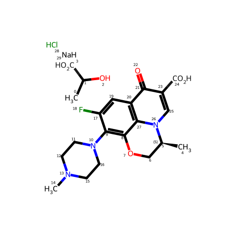 CC(O)C(=O)O.C[C@H]1COc2c(N3CCN(C)CC3)c(F)cc3c(=O)c(C(=O)O)cn1c23.Cl.[NaH]